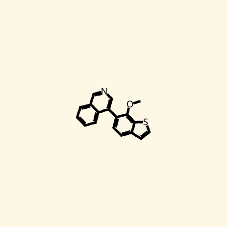 COc1c(-c2cncc3ccccc23)ccc2ccsc12